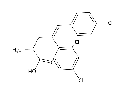 C[C@H](C/C(=C/c1ccc(Cl)cc1)c1ccc(Cl)cc1Cl)C(=O)O